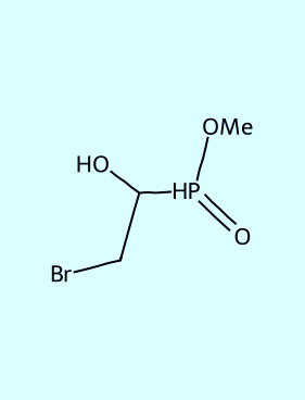 CO[PH](=O)C(O)CBr